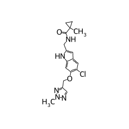 Cn1ncc(COc2cc3[nH]c(CNC(=O)C4(C)CC4)cc3cc2Cl)n1